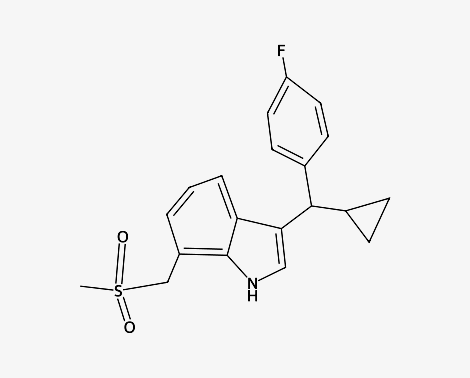 CS(=O)(=O)Cc1cccc2c(C(c3ccc(F)cc3)C3CC3)c[nH]c12